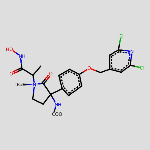 CC(C(=O)NO)[N@@+]1(C(C)(C)C)CCC(NC(=O)[O-])(c2ccc(OCc3cc(Cl)nc(Cl)c3)cc2)C1=O